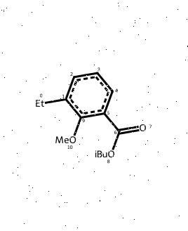 CCc1cccc(C(=O)OCC(C)C)c1OC